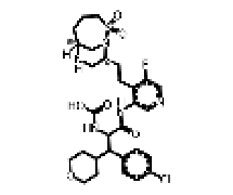 O=C(O)NC(C(=O)Nc1cncc(F)c1CC[C@H]1CN[C@@H]2CCCS(=O)(=O)N1C2)C(c1ccc(Cl)cc1)C1CCOCC1